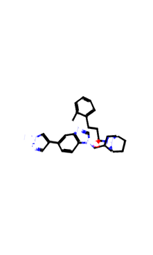 Cc1ccccc1CCC(=O)N1C2CCC1C(Cn1cnc3cc(-c4cn[nH]c4)ccc31)C2